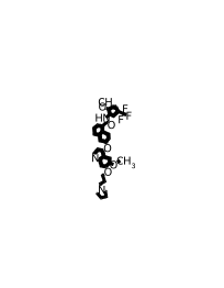 COc1ccc(C(F)(F)F)cc1NC(=O)c1cccc2cc(Oc3ccnc4cc(OCCCN5CCCC5)c(OC)cc34)ccc12